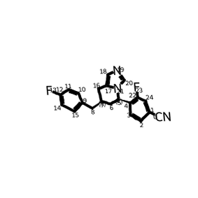 N#Cc1ccc([C@H]2C[C@@H](Cc3ccc(F)cc3)Cc3cncn32)c(F)c1